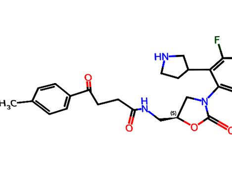 Cc1ccc(C(=O)CCC(=O)NC[C@H]2CN(c3cccc(F)c3C3CCNC3)C(=O)O2)cc1